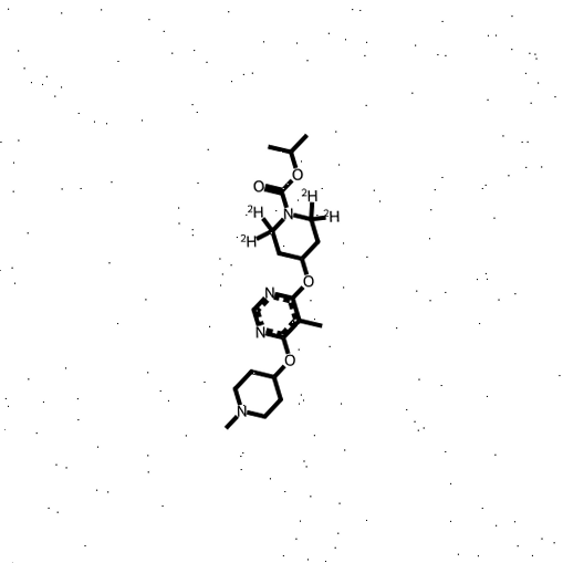 [2H]C1([2H])CC(Oc2ncnc(OC3CCN(C)CC3)c2C)CC([2H])([2H])N1C(=O)OC(C)C